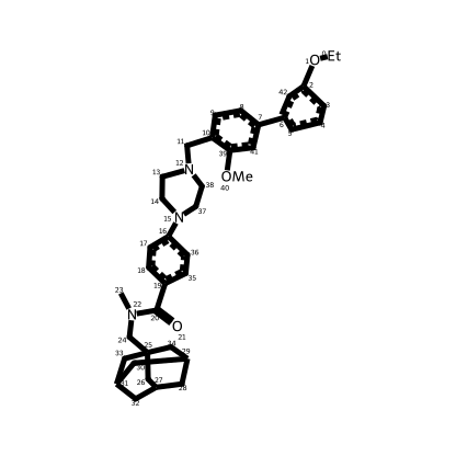 CCOc1cccc(-c2ccc(CN3CCN(c4ccc(C(=O)N(C)CC56CC7CC(CC(C7)C5)C6)cc4)CC3)c(OC)c2)c1